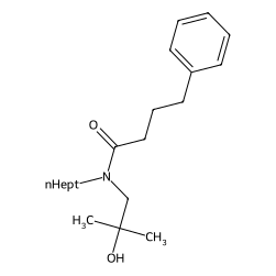 CCCCCCCN(CC(C)(C)O)C(=O)CCCc1ccccc1